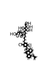 CC(C)(CC(=O)O)CC(=O)N(CCCCc1cc(Cl)c(COC2(c3cnccc3-c3ccccc3OC3CC3)CC2)cc1Cl)CC(O)C(O)C(O)C(O)CO